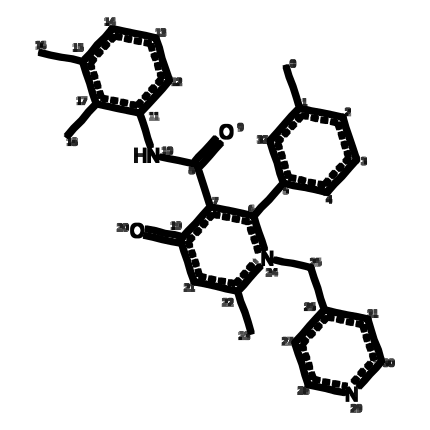 Cc1cccc(-c2c(C(=O)Nc3cccc(C)c3C)c(=O)cc(C)n2Cc2ccncc2)c1